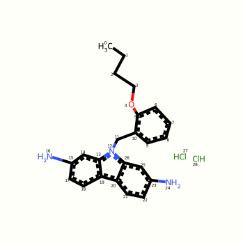 CCCCOc1ccccc1Cn1c2cc(N)ccc2c2ccc(N)cc21.Cl.Cl